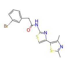 Cc1nc(C)c(-c2csc(NC(=O)Cc3cccc(Br)c3)n2)s1